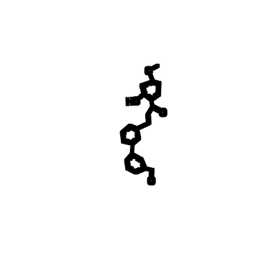 COc1ccc(C(=O)C=Cc2cccc(-c3cccc(C=O)c3)c2)c(O)c1